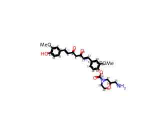 COc1cc(/C=C/C(=O)CC(=O)/C=C/c2ccc(OC(=O)N3CCOC(CN)C3)c(OC)c2)ccc1O